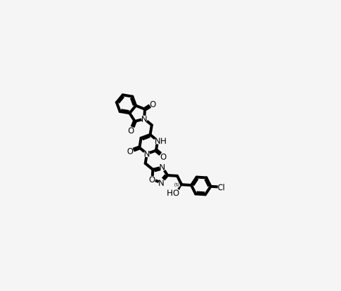 O=C1c2ccccc2C(=O)N1Cc1cc(=O)n(Cc2nc(C[C@H](O)c3ccc(Cl)cc3)no2)c(=O)[nH]1